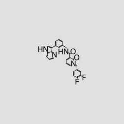 O=C(NCc1cccc(-c2c[nH]c3cccnc23)c1)c1cccn(Cc2ccc(F)c(F)c2)c1=O